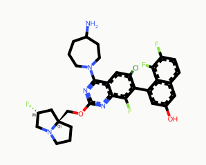 NC1CCCN(c2nc(OC[C@@]34CCCN3C[C@H](F)C4)nc3c(F)c(-c4cc(O)cc5ccc(F)c(F)c45)c(Cl)cc23)CC1